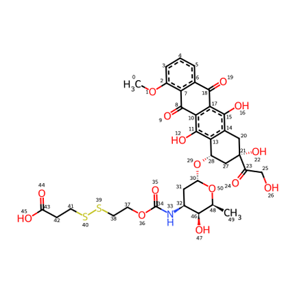 COc1cccc2c1C(=O)c1c(O)c3c(c(O)c1C2=O)C[C@@](O)(C(=O)CO)C[C@@H]3O[C@H]1C[C@H](NC(=O)OCCSSCCC(=O)O)[C@H](O)[C@H](C)O1